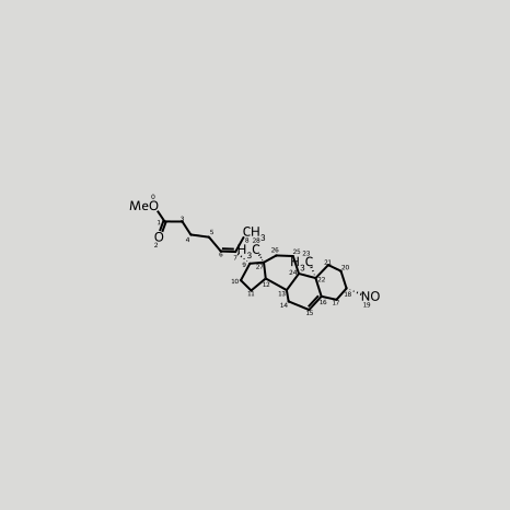 COC(=O)CCC/C=C(\C)[C@H]1CCC2C3CC=C4C[C@@H](N=O)CC[C@]4(C)C3CC[C@@]21C